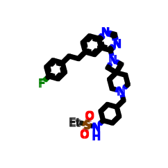 CCS(=O)(=O)NC1CCC(CN2CCC3(CC2)CN(c2ncnc4ccc(CCc5ccc(F)cc5)cc24)C3)CC1